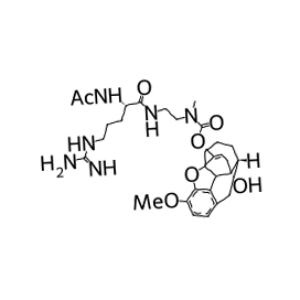 COc1ccc2c3c1OC14CCC[C@H](C2)[C@](O)(CC=C1OC(=O)N(C)CCNC(=O)[C@H](CCCNC(=N)N)NC(C)=O)C34